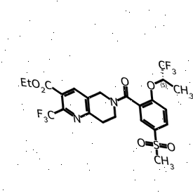 CCOC(=O)c1cc2c(nc1C(F)(F)F)CCN(C(=O)c1cc(S(C)(=O)=O)ccc1O[C@@H](C)C(F)(F)F)C2